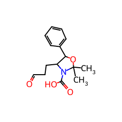 CC1(C)OC(c2ccccc2)C(CCC=O)N1C(=O)O